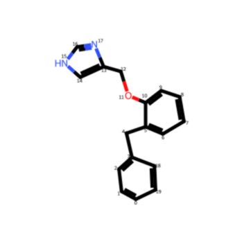 c1ccc(Cc2ccccc2OCc2c[nH]cn2)cc1